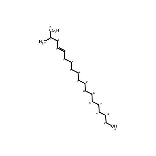 CC(CC=CCCCCCCCCCCCCCO)C(=O)O